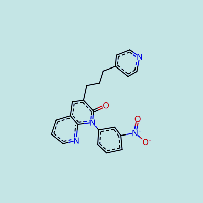 O=c1c(CCCc2ccncc2)cc2cccnc2n1-c1cccc([N+](=O)[O-])c1